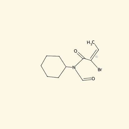 C/C=C(/Br)C(=O)N(C=O)C1CCCCC1